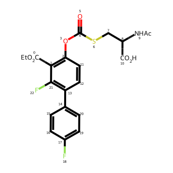 CCOC(=O)c1c(OC(=O)SCC(NC(C)=O)C(=O)O)ccc(-c2ccc(F)cc2)c1F